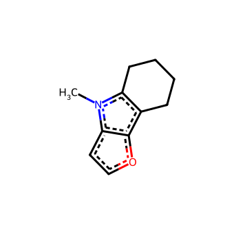 Cn1c2c(c3occc31)CCCC2